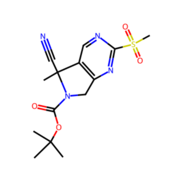 CC(C)(C)OC(=O)N1Cc2nc(S(C)(=O)=O)ncc2C1(C)C#N